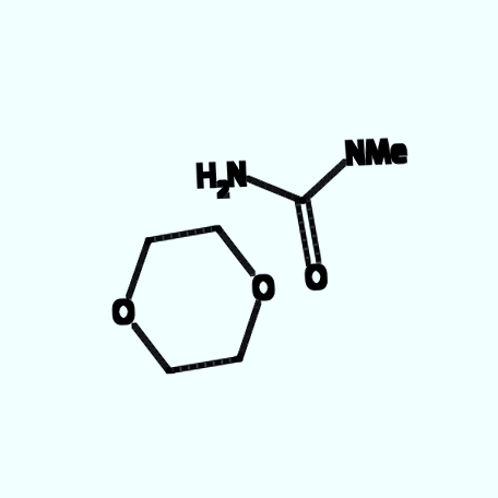 C1COCCO1.CNC(N)=O